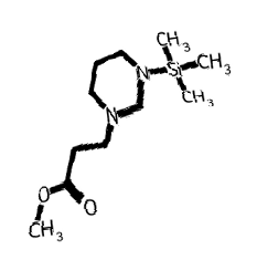 COC(=O)CCN1CCCN([Si](C)(C)C)C1